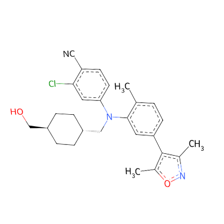 Cc1ccc(-c2c(C)noc2C)cc1N(C[C@H]1CC[C@H](CO)CC1)c1ccc(C#N)c(Cl)c1